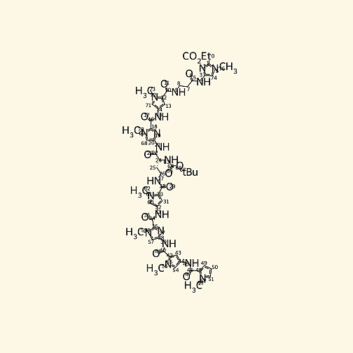 CCOC(=O)c1nc(NC(=O)CCNC(=O)c2cc(NC(=O)c3nc(NC(=O)[C@@H](CCNC(=O)c4cc(NC(=O)c5nc(NC(=O)c6cc(NC(=O)c7cccn7C)cn6C)cn5C)cn4C)NC(=O)OC(C)(C)C)cn3C)cn2C)cn1C